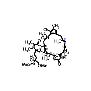 COCC(C)(CCC(=O)N(C)[C@@H](C)C(=O)O[C@H]1CC(=O)N(C)c2cc(cc(C)c2Cl)C/C(C)=C/C=C/[C@@H](C)[C@@]2(O)C[C@H](OC(=O)N2)[C@@H](C)[C@@H]2O[C@@]12C)SSC